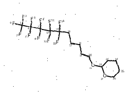 FC(F)(F)C(F)(F)C(F)(F)C(F)(F)C(F)(F)CCCCCOC1CCCCO1